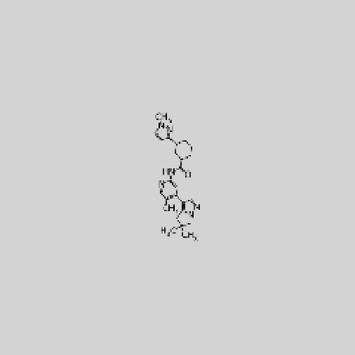 Cc1cnc(NC(=O)[C@@H]2CCC[C@H](c3ccn(C)n3)C2)cc1-c1cnn2c1CC(C)(C)C2